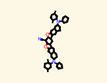 Cc1ccc(C)c(N(c2ccccc2)c2ccc3cc4c(cc3c2)oc2c(C#N)c3oc5cc6cc(N(c7ccccc7)c7cc(C)ccc7C)ccc6cc5c3cc24)c1